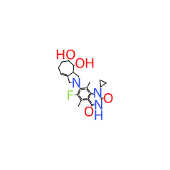 Cc1c(F)c(N2CC3=CCCC(O)C(O)C3C2)c(C)c2c1c(=O)[nH]c(=O)n2C1CC1